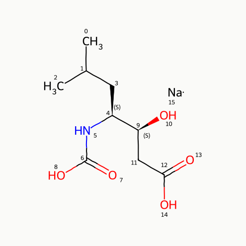 CC(C)C[C@H](NC(=O)O)[C@@H](O)CC(=O)O.[Na]